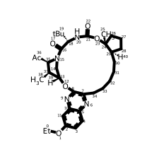 CCOc1ccc2nc3c(nc2c1)O[C@H]1CN(C(=O)[C@H](C(C)(C)C)NC(=O)O[C@]2(C)CCC[C@H]2CCCCC3)[C@H](C(C)=O)[C@@H]1C